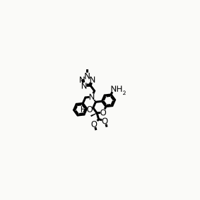 COC(OC)[C@@]1(C)Oc2ccc(N)cc2[C@H](N(Cc2ccccc2)Cc2nnn(C)n2)[C@H]1O